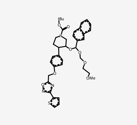 COCCOCOC(OC1CN(C(=O)OC(C)(C)C)CCC1c1ccc(OCc2nc(-c3cccs3)no2)cc1)c1ccc2ccccc2c1